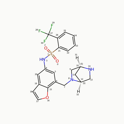 O=S(=O)(Nc1cc(CN2C[C@@H]3C[C@H]2CN3)c2occc2c1)c1ccccc1C(F)(F)F